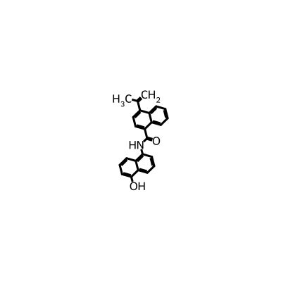 C=C(C)c1ccc(C(=O)Nc2cccc3c(O)cccc23)c2ccccc12